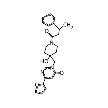 CC(CC(=O)N1CCC(O)(Cn2cnc(-c3ccco3)cc2=O)CC1)c1ccccc1